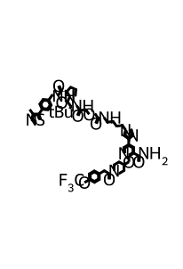 Cc1ncsc1-c1ccc(CNC(=O)[C@@H]2CCCN2C(=O)C(NC(=O)COCC(=O)NCCCCn2cnc(-c3cnc(OC4CCN(C(=O)Cc5ccc(OC(F)(F)F)cc5)CC4)c(C(N)=O)c3)c2)C(C)(C)C)cc1